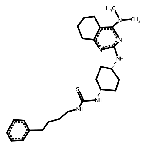 CN(C)c1nc(N[C@H]2CC[C@@H](NC(=S)NCCCCc3ccccc3)CC2)nc2c1CCCC2